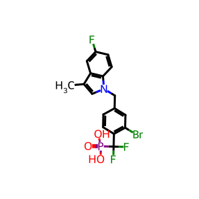 Cc1cn(Cc2ccc(C(F)(F)P(=O)(O)O)c(Br)c2)c2ccc(F)cc12